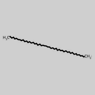 [CH2]CCCCCCCCCCCCCCCCCCCCCCCCCCCCCCCCCCCCCCCCCCCCCCC